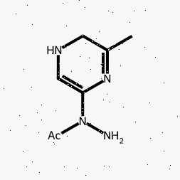 CC(=O)N(N)C1=CNCC(C)=N1